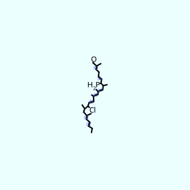 CC/C=C/C=C(\C)CC(C)C(Cl)/C=C/C(C)=C/C(C)=C/C(C)C(P)/C=C/C/C=C(\C)C=O